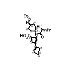 CCCC(CC)C(=O)N(c1cc(C2=CCCCC2)sc1C(=O)O)C1CCC(=NOCC)CC1